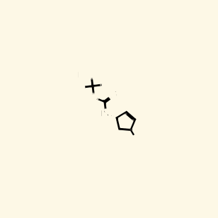 CC1C=C[C@@H](NC(=O)OC(C)(C)C)C1